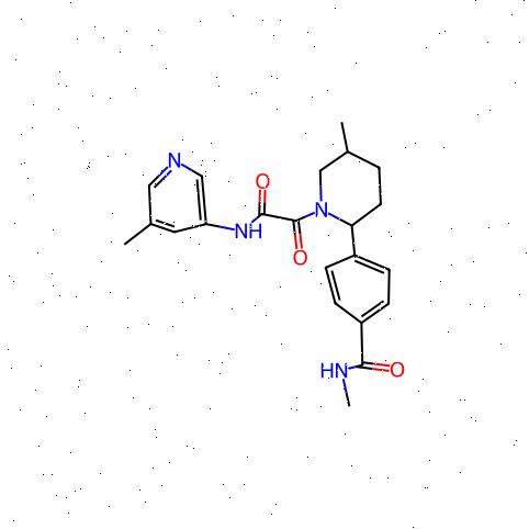 CNC(=O)c1ccc(C2CCC(C)CN2C(=O)C(=O)Nc2cncc(C)c2)cc1